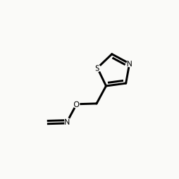 C=NOCc1cncs1